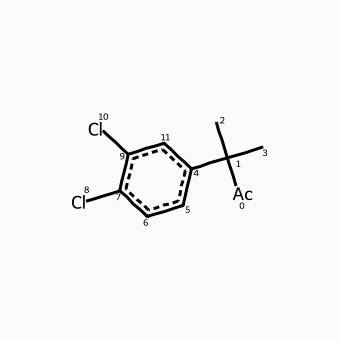 CC(=O)C(C)(C)c1ccc(Cl)c(Cl)c1